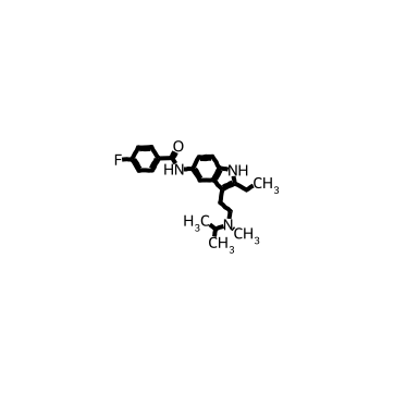 CCc1[nH]c2ccc(NC(=O)c3ccc(F)cc3)cc2c1CCN(C)C(C)C